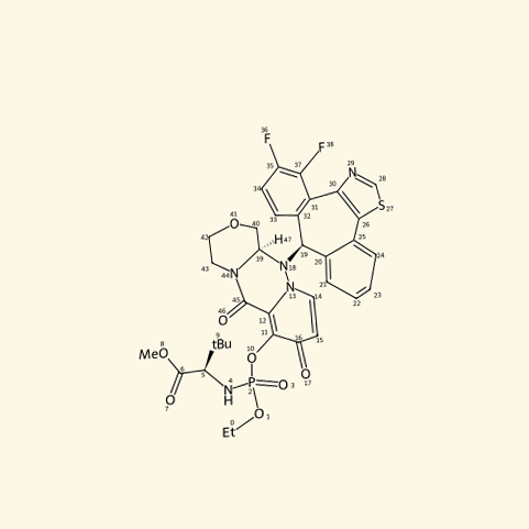 CCOP(=O)(N[C@@H](C(=O)OC)C(C)(C)C)Oc1c2n(ccc1=O)N([C@@H]1c3ccccc3-c3scnc3-c3c1ccc(F)c3F)[C@@H]1COCCN1C2=O